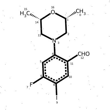 C[C@@H]1CN(c2cc(F)c(I)cc2C=O)C[C@H](C)O1